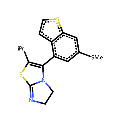 CSc1cc(C2=C(C(C)C)SC3=NCCN32)c2ccsc2c1